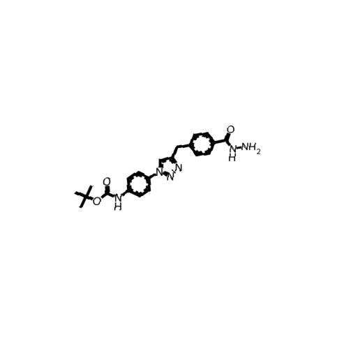 CC(C)(C)OC(=O)Nc1ccc(-n2cc(Cc3ccc(C(=O)NN)cc3)nn2)cc1